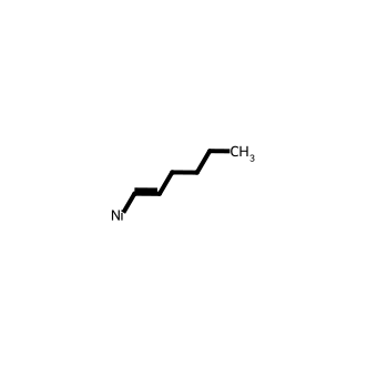 CCCC/C=[CH]/[Ni]